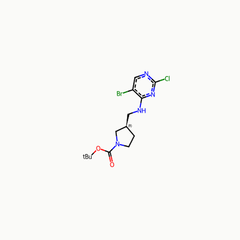 CC(C)(C)OC(=O)N1CC[C@H](CNc2nc(Cl)ncc2Br)C1